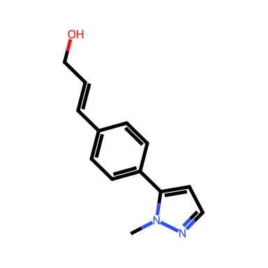 Cn1nccc1-c1ccc(/C=C/CO)cc1